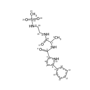 CC(NC(=O)c1ccc(-c2ccccc2)[nH]1)C(=O)NCCNS(C)(=O)=O